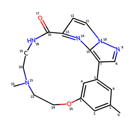 Cc1cc2cc(c1)-c1cnn3ccc(nc13)C(=O)NCCN(C)CCO2